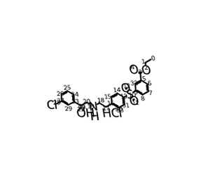 CCOC(=O)c1cccc(S(=O)(=O)c2ccc(CCNC[C@H](O)c3cccc(Cl)c3)cc2)c1.Cl